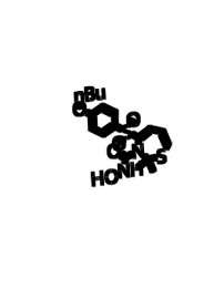 CCCCOc1ccc(S(=O)(=O)C2=CC=CSC(C)(C)N2C(=O)NO)cc1